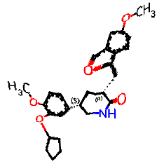 COc1ccc2c(C[C@H]3C[C@@H](c4ccc(OC)c(OC5CCCC5)c4)CNC3=O)occ2c1